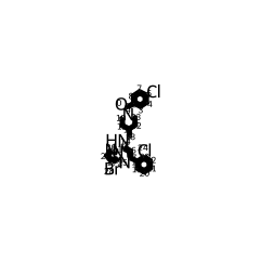 O=C(c1ccc(Cl)cc1)N1CCC(CNc2cc(-c3ccccc3Cl)nc3c(Br)cnn23)CC1